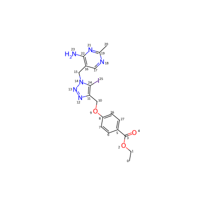 CCOC(=O)c1ccc(OCc2nnn(Cc3cnc(C)nc3N)c2I)cc1